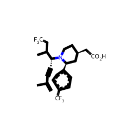 C=C(C)C#C[C@H](C(C)CC(F)(F)F)N1CC[C@@H](CC(=O)O)C[C@H]1c1ccc(C(F)(F)F)cc1